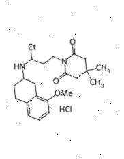 CCC(CCN1C(=O)CC(C)(C)CC1=O)NC1CCc2cccc(OC)c2C1.Cl